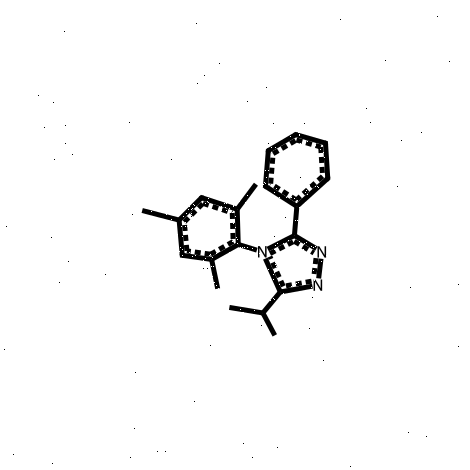 Cc1cc(C)c(-n2c(-c3ccccc3)nnc2C(C)C)c(C)c1